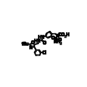 CC(C)(C)c1nc(-c2cccc(Cl)c2)c(CNC(=O)Nc2ccc(CN(C(=O)O)S(N)(=O)=O)cc2)o1